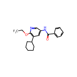 O=C(Nc1cnc(OCC(F)(F)F)c(C2CCCCC2)c1)c1ccccc1